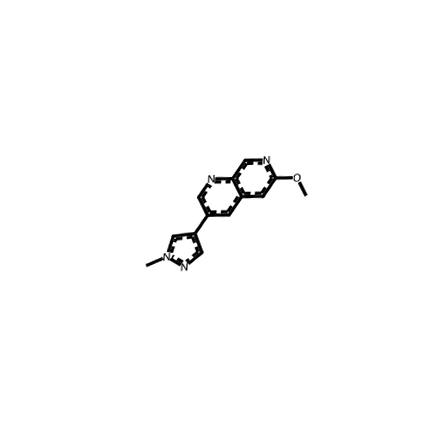 COc1cc2cc(-c3cnn(C)c3)cnc2cn1